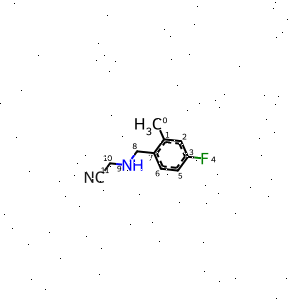 Cc1cc(F)ccc1CNCC#N